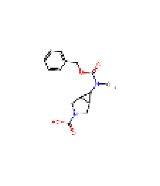 CN(C(=O)OCc1ccccc1)C1C2CN(C(=O)O)CC21